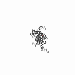 CCCCCC(C(=O)NCNC(=O)c1ccc(-c2cc(OCC)cc(O[PH](=O)O)c2)o1)C(CC)N(C=O)OC(=O)NC(C)(C)C